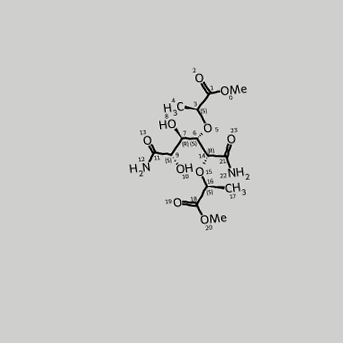 COC(=O)[C@H](C)O[C@@H]([C@H](O)[C@H](O)C(N)=O)[C@@H](O[C@@H](C)C(=O)OC)C(N)=O